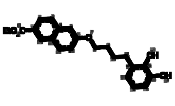 CCOC(=O)c1ccc2cc(OCCCCc3cccc(O)c3O)ccc2c1